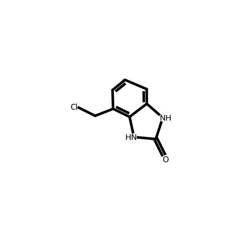 O=c1[nH]c2c[c]cc(CCl)c2[nH]1